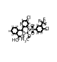 COCN(c1cc(Cl)cnc1C(=O)c1ccccc1C(=O)O)S(=O)(=O)c1ccc(Cl)c(C(F)(F)F)c1